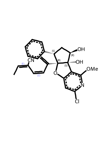 C=C(/C=C\C(C#N)=C/C)[C@@]12Oc3cc(Cl)nc(OC)c3[C@]1(O)[C@H](O)C[C@H]2c1ccccc1